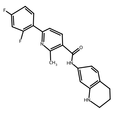 Cc1nc(-c2ccc(F)cc2F)ccc1C(=O)Nc1ccc2c(c1)NCCC2